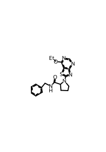 CCOc1ncnc2nc(N3CCCC3C(=O)NCc3ccccc3)sc12